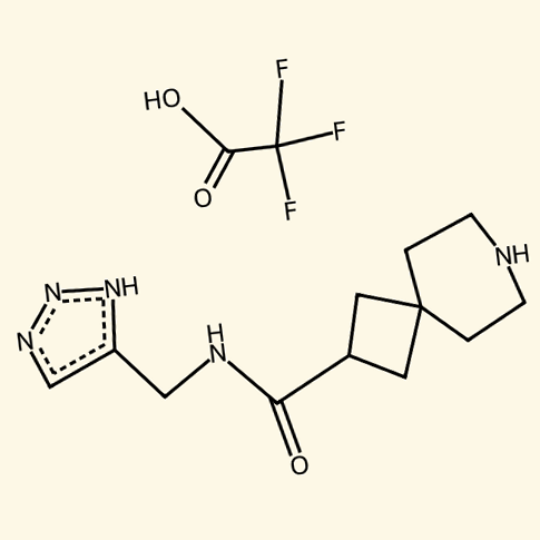 O=C(NCc1cnn[nH]1)C1CC2(CCNCC2)C1.O=C(O)C(F)(F)F